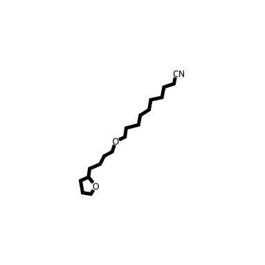 N#CCCCCCCCCCOCCCCC1CCCO1